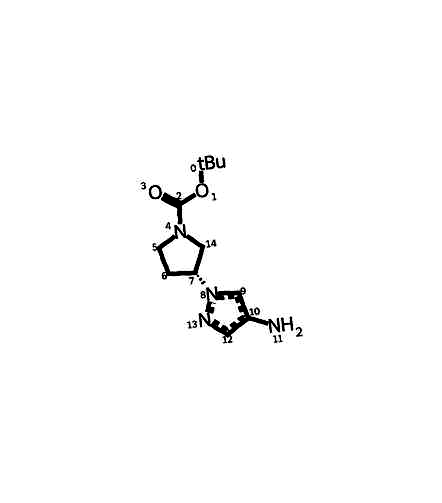 CC(C)(C)OC(=O)N1CC[C@@H](n2cc(N)cn2)C1